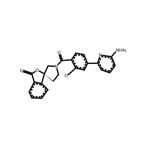 CC(=O)Nc1cccc(-c2ccc(C(=O)N3CC[C@@]4(C3)OC(=O)c3ccccc34)c(Cl)c2)n1